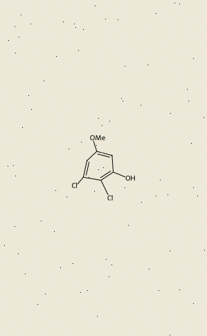 COc1cc(O)c(Cl)c(Cl)c1